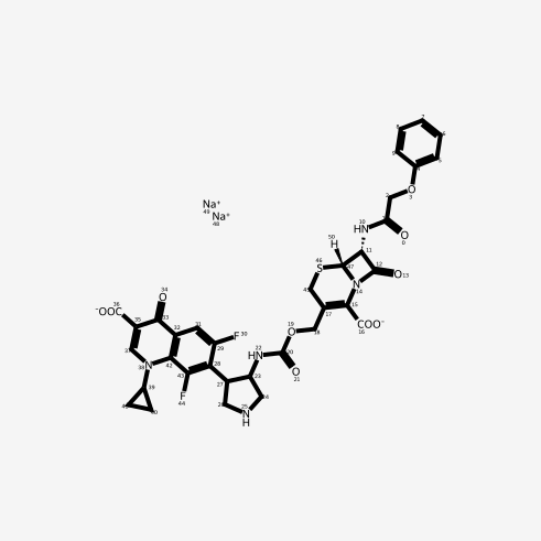 O=C(COc1ccccc1)N[C@@H]1C(=O)N2C(C(=O)[O-])=C(COC(=O)NC3CNCC3c3c(F)cc4c(=O)c(C(=O)[O-])cn(C5CC5)c4c3F)CS[C@H]12.[Na+].[Na+]